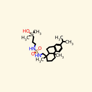 CC(C)c1ccc2c(c1)CCC1C(C)(CNS(=O)(=O)NCCC[Si](C)(C)O)CCCC21C